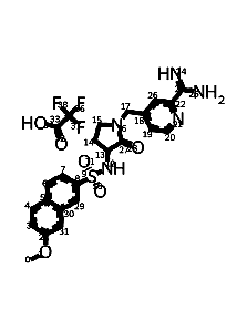 COc1ccc2ccc(S(=O)(=O)NC3CCN(Cc4ccnc(C(=N)N)c4)C3=O)cc2c1.O=C(O)C(F)(F)F